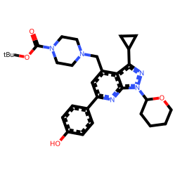 CC(C)(C)OC(=O)N1CCN(Cc2cc(-c3ccc(O)cc3)nc3c2c(C2CC2)nn3C2CCCCO2)CC1